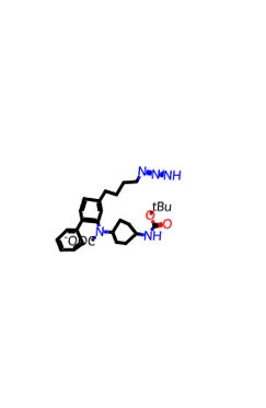 CC(C)(C)OC(=O)NC1CCC(N(C(=O)[O-])c2cc(CCCCN=[N+]=N)ccc2-c2ccccc2)CC1